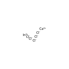 [Ca+2].[Cl-].[Cl-].[Cl-].[Cl-].[Cl-].[In+3]